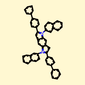 c1ccc(-c2ccc(-c3cc4cc5c(cc(-c6ccc(-c7ccccc7)cc6)n5-c5ccc6ccccc6c5)cc4n3-c3ccc4ccccc4c3)cc2)cc1